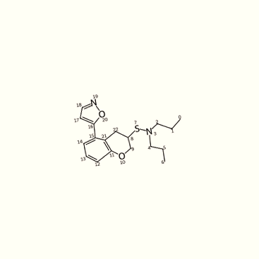 CCCN(CCC)SC1COc2cccc(-c3ccno3)c2C1